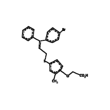 Cc1cc(SCC=C(c2ccccc2)c2ccc(Br)cc2)ccc1OCC(=O)O